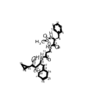 CS(=O)(=O)N[C@@H](Cc1ccccc1)C(=O)NCCC(=O)N[C@@H](CC1CCCCC1)[C@@H](O)[C@@H](O)C1CC1